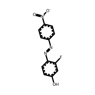 O=[N+]([O-])c1ccc(/N=N/c2ccc(O)cc2F)cc1